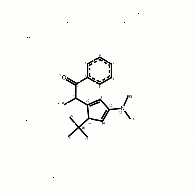 CC(C(=O)c1ccccc1)C1=CC(N(C)C)=CC1C(C)(C)C